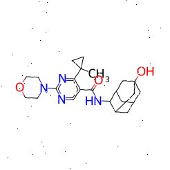 CC1(c2nc(N3CCOCC3)ncc2C(=O)NC2C3CC4CC2CC(O)(C4)C3)CC1